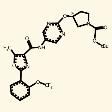 CC(C)(C)OC(=O)N1CC[C@H](Oc2ncc(NC(=O)c3nc(-c4ccccc4OC(F)(F)F)oc3C(F)(F)F)cn2)C1